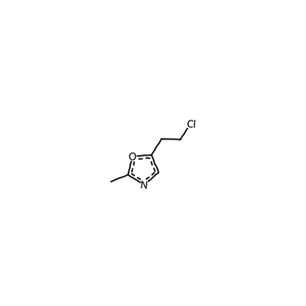 Cc1ncc(CCCl)o1